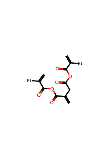 C=C(CC)C(=O)OC(=O)CC(=C)C(=O)OC(=O)C(=C)CC